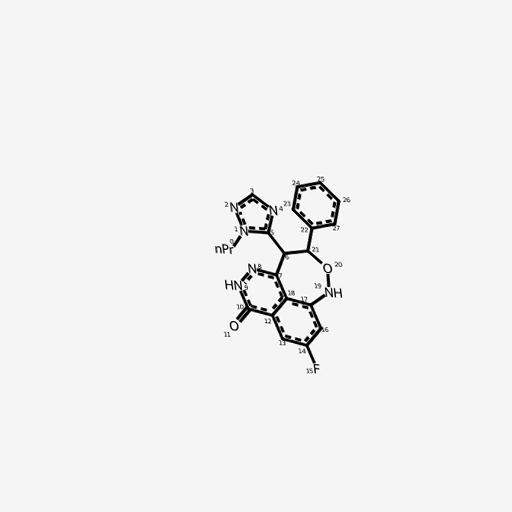 CCCn1ncnc1C1c2n[nH]c(=O)c3cc(F)cc(c23)NOC1c1ccccc1